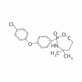 CC1(C)CCCOP(=O)(c2ccc(Oc3ccc(Cl)cc3)cc2)N1